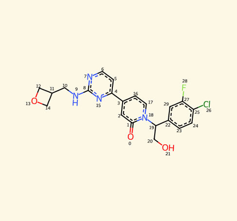 O=c1cc(-c2ccnc(NCC3COC3)n2)ccn1C(CO)c1ccc(Cl)c(F)c1